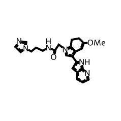 COC1=Cc2c(-c3cc4cccnc4[nH]3)cn(CC(=O)NCCCn3ccnc3)c2CC1